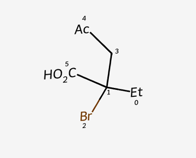 CCC(Br)(CC(C)=O)C(=O)O